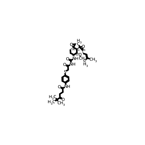 CO[C@H]1[C@H](C2(C)O[C@@H]2CC=C(C)C)[C@]2(CC[C@H]1NC(=O)NC(=O)CSc1ccc(NC(=O)CCC(=O)C(C)(C)C)cc1)CO2